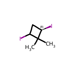 CC1(C)C(I)C[C@H]1I